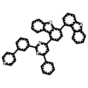 c1ccc(-c2cc(-c3ccc(-c4cccc5sc6ccccc6c45)c4oc5ccccc5c34)nc(-c3cccc(-c4ccncc4)c3)n2)cc1